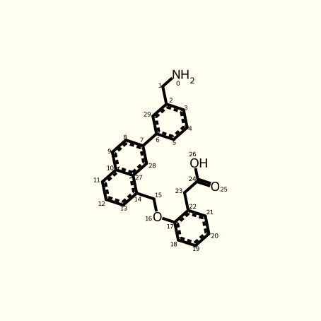 NCc1cccc(-c2ccc3cccc(COc4ccccc4CC(=O)O)c3c2)c1